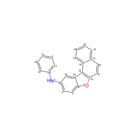 c1ccc(Nc2ccc3oc4ccc5ccccc5c4c3c2)cc1